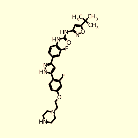 CC(C)(C)c1cc(NC(=O)Nc2ccc(-c3cc(-c4ccc(OCCN5CCNCC5)cc4F)[nH]n3)cc2F)no1